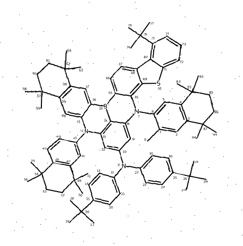 Cc1cc2c(cc1N1c3cc(N(c4ccc(C(C)(C)C)cc4)c4ccc(C(C)(C)C)cc4)cc4c3B(c3cc5c(cc3N4c3ccc4c(c3)C(C)(C)CCC4(C)C)C(C)(C)CCC5(C)C)c3ccc4c(sc5cccc(C(C)(C)C)c54)c31)C(C)(C)CCC2(C)C